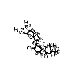 C=C1N(N)C(C(F)(F)F)=CC(=O)N1c1cc(Sc2cccnc2OC(CC)C(C)=O)c(Cl)cc1F